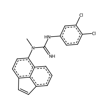 CN(C(=N)Nc1ccc(Cl)c(Cl)c1)c1ccc2c3c(cccc13)C=C2